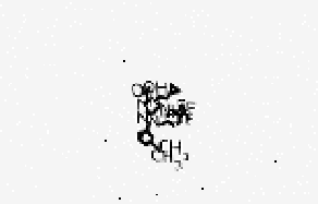 CC(C)c1cccc(-c2nc3c(n2Cc2ccc(C(F)(F)F)cc2)C(N)N(CCC2CC2)C(C(=O)O)=N3)c1